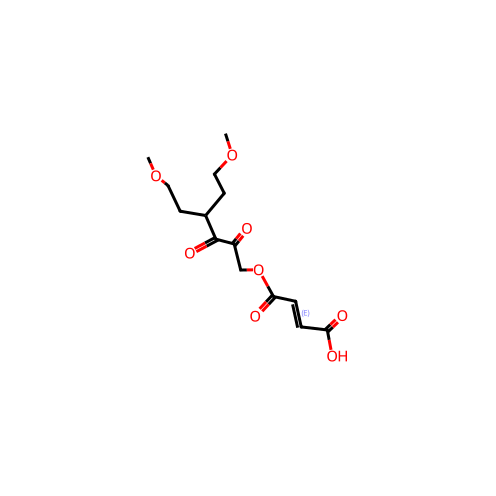 COCCC(CCOC)C(=O)C(=O)COC(=O)/C=C/C(=O)O